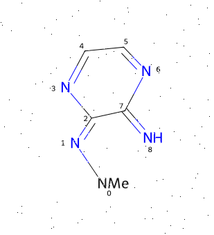 CN/N=C1/N=CC=NC1=N